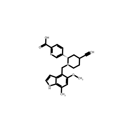 C#CC1CCN(Cc2c(OC)cc(C)c3[nH]ccc23)[C@H](c2ccc(C(=O)O)nc2)C1